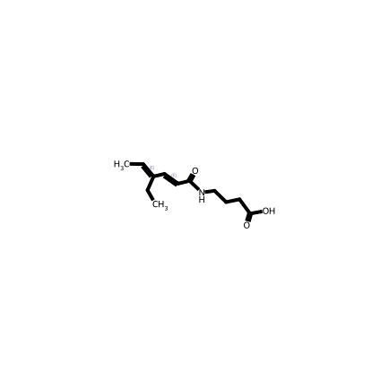 C/C=C(/C=C/C(=O)NCCCC(=O)O)CC